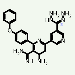 N=C(N)C1=C(c2ccc(Oc3ccccc3)cc2)N=C(c2cncc(/C(=N/N)NN)c2)CC1N